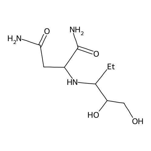 CCC(NC(CC(N)=O)C(N)=O)C(O)CO